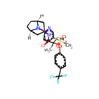 CC(C)(Oc1ccc(C(F)(F)F)cc1)C(=O)N[C@H]1C[C@H]2CC[C@@H](C1)N2c1ccc(S(C)(=O)=O)cn1